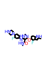 CNC(=O)c1c(Nc2ccc(N3CCNCC3)c(F)c2)ncnc1Oc1ccc2[nH]c(C)cc2c1F